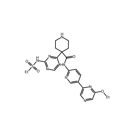 CCOc1cncc(-c2ccc(NC(=O)C3(c4ccnc(NS(=O)(=O)CC)n4)CCNCC3)nc2)n1